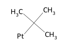 C[C](C)(C)[Pt]